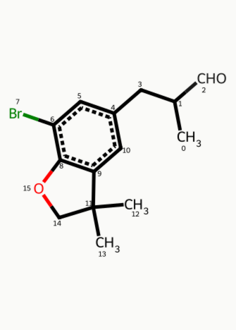 CC(C=O)Cc1cc(Br)c2c(c1)C(C)(C)CO2